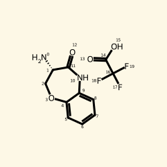 N[C@H]1COc2ccccc2NC1=O.O=C(O)C(F)(F)F